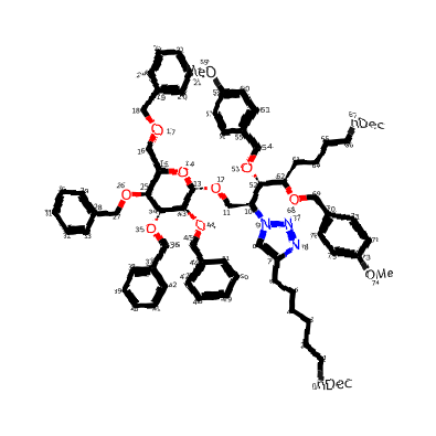 CCCCCCCCCCCCCCCCc1cn([C@@H](CO[C@H]2OC(COCc3ccccc3)[C@H](OCc3ccccc3)[C@@H](OCc3ccccc3)[C@@H]2OCc2ccccc2)[C@H](OCc2ccc(OC)cc2)[C@@H](CCCCCCCCCCCCCC)OCc2ccc(OC)cc2)nn1